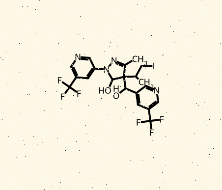 CC1=NN(c2cncc(C(F)(F)F)c2)C(O)C1(C(C)CI)C(O)c1cncc(C(F)(F)F)c1